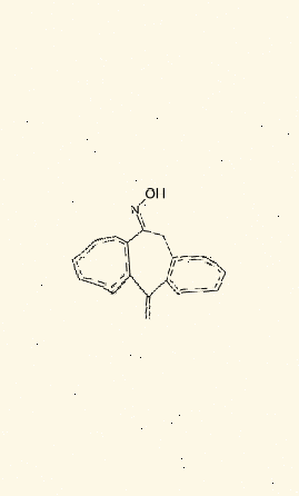 C=C1c2ccccc2C/C(=N\O)c2ccccc21